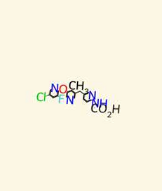 Cc1c(Cc2ccc(NC(=O)O)nc2)cncc1Oc1ncc(Cl)cc1F